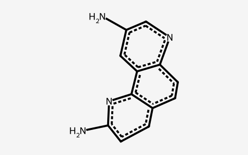 Nc1cnc2ccc3ccc(N)nc3c2c1